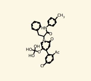 CC(=O)c1ccc(Cl)cc1-c1cc(=O)n(C(Cc2ccccc2)C(=O)Nc2ccc(C)cc2)cc1OC(O)(O)O